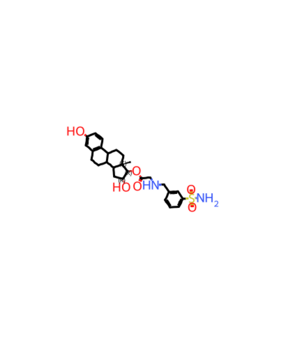 C[C@]12CCC3c4ccc(O)cc4CCC3C1C[C@@H](O)[C@@H]2OC(=O)CNCc1cccc(S(N)(=O)=O)c1